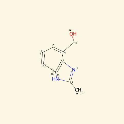 Cc1nc2c(CO)cc#cc2[nH]1